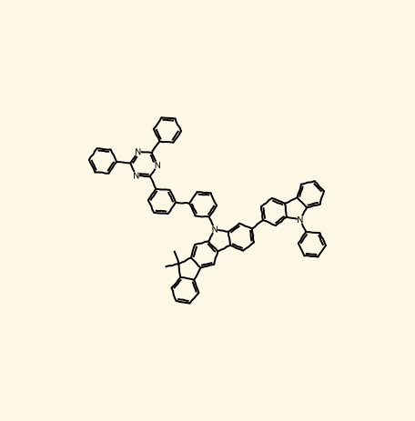 CC1(C)c2ccccc2-c2cc3c4ccc(-c5ccc6c7ccccc7n(-c7ccccc7)c6c5)cc4n(-c4cccc(-c5cccc(-c6nc(-c7ccccc7)nc(-c7ccccc7)n6)c5)c4)c3cc21